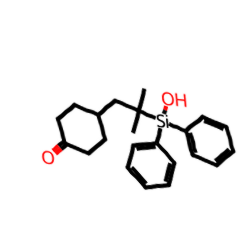 CC(C)(CC1CCC(=O)CC1)[Si](O)(c1ccccc1)c1ccccc1